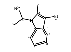 CCc1c(C)n(C(C)C#N)c2ccccc12